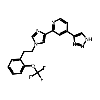 FC(F)(F)Oc1ccccc1CCn1cnc(-c2cc(-c3c[nH]nn3)ccn2)c1